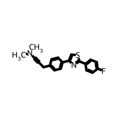 CN(C)C#CCc1ccc(-c2csc(-c3ccc(F)cc3)n2)cc1